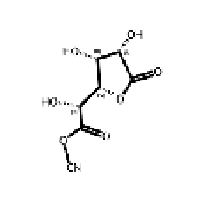 N#COC(=O)[C@H](O)[C@H]1OC(=O)[C@@H](O)[C@H]1O